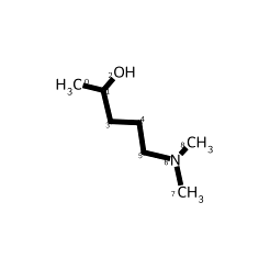 CC(O)CCCN(C)C